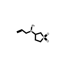 C=CCN(C(C)C)C1CCS(=O)(=O)C1